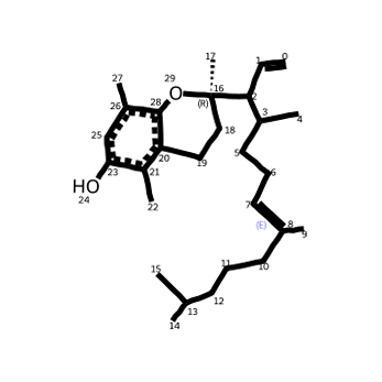 C=CC(C(C)CC/C=C(\C)CCCC(C)C)[C@@]1(C)CCc2c(C)c(O)cc(C)c2O1